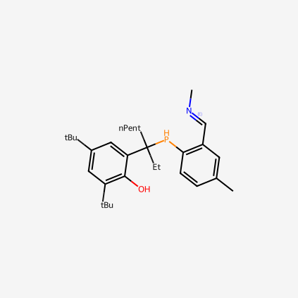 CCCCCC(CC)(Pc1ccc(C)cc1/C=N/C)c1cc(C(C)(C)C)cc(C(C)(C)C)c1O